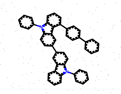 c1ccc(-c2ccc(-c3cccc4c3c3cc(-c5ccc6c(c5)c5ccccc5n6-c5ccccc5)ccc3n4-c3ccccc3)cc2)cc1